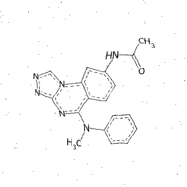 CC(=O)Nc1ccc2c(N(C)c3ccccc3)nc3nncn3c2c1